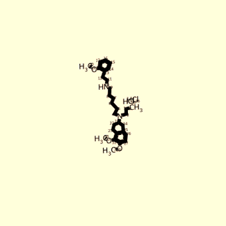 CCCN(CCCCCCNCCc1ccccc1OC)C1CCc2c(ccc(OC)c2OC)C1.Cl.Cl